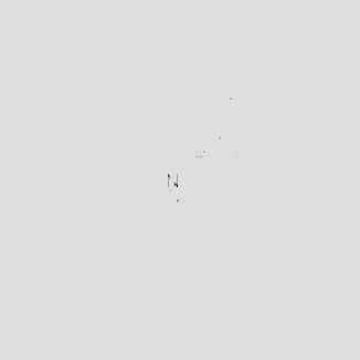 C=C1c2ccccc2-c2cccc(-c3cc4cc5ccccc5cc4n3-c3ccccc3)c21